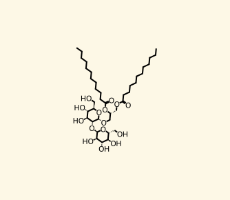 CCCCCCCCCCCC(=O)OC[C@H](CO[C@H]1O[C@H](CO)[C@@H](O)[C@H](O)[C@H]1O[C@H]1O[C@H](CO)[C@@H](O)[C@H](O)[C@H]1O)OC(=O)CCCCCCCCCCC